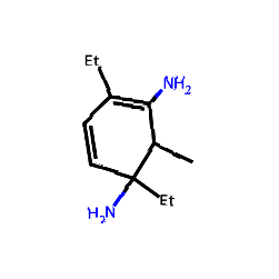 CCC1=C(N)C(C)C(N)(CC)C=C1